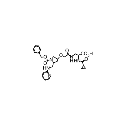 O=C(COC1C[C@@H](CNc2ccccn2)N(C(=O)OCc2ccccc2)C1)NC[C@H](NC(=O)C1CC1)C(=O)O